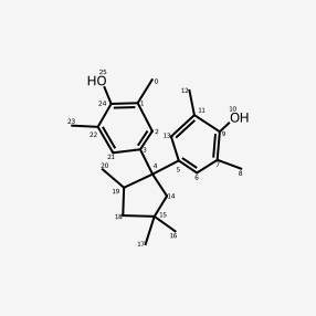 Cc1cc(C2(c3cc(C)c(O)c(C)c3)CC(C)(C)CC2C)cc(C)c1O